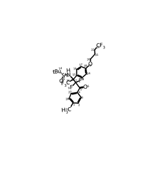 Cc1ccc(C(=O)C(F)(F)C(N[S+]([O-])C(C)(C)C)(c2ccc(OCCCC(F)(F)F)cc2)C(F)(F)F)cc1